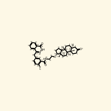 C[C@]12CCC(=O)C[C@@H]1CC[C@@H]1[C@@H]2CC[C@]2(C)[C@@H](OCCNC(=O)c3cc(Cc4n[nH]c(=O)c5ccccc45)ccc3F)CC[C@@H]12